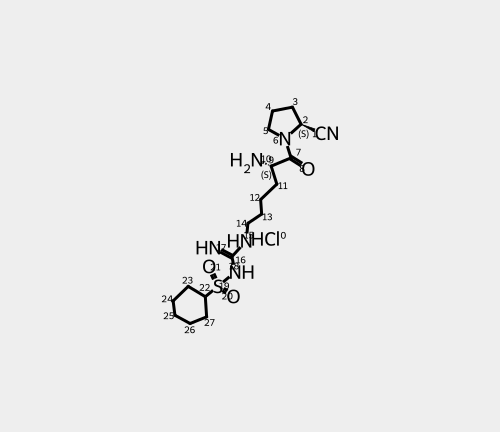 Cl.N#C[C@@H]1CCCN1C(=O)[C@@H](N)CCCCNC(=N)NS(=O)(=O)C1CCCCC1